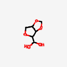 OC(O)C1OCC2OCOC21